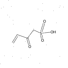 C=CC(=O)[CH]S(=O)(=O)O